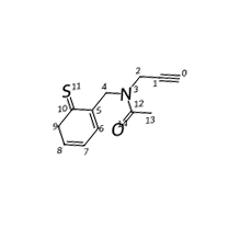 C#CCN(CC1=CC=CCC1=S)C(C)=O